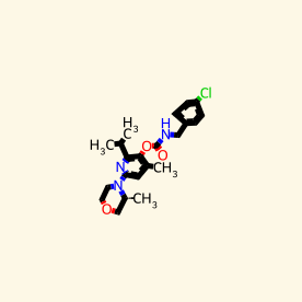 Cc1cc(N2CCOC[C@H]2C)nc(C(C)C)c1OC(=O)NCc1ccc(Cl)cc1